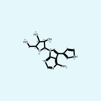 Nc1ncnc2c1c(-c1cc[nH]c1)cn2C1OC(CO)C(O)C1O